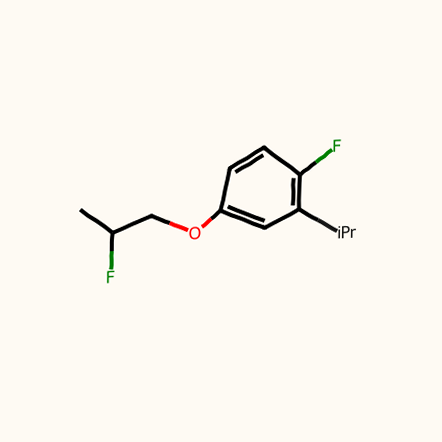 CC(F)COc1ccc(F)c(C(C)C)c1